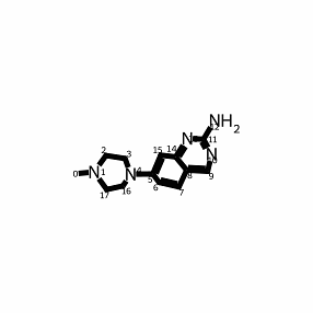 CN1CCN(c2ccc3cnc(N)nc3c2)CC1